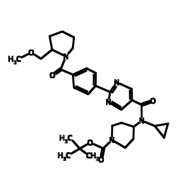 COCC1CCCCN1C(=O)c1ccc(-c2ncc(C(=O)N(C3CC3)C3CCN(C(=O)OC(C)(C)C)CC3)cn2)cc1